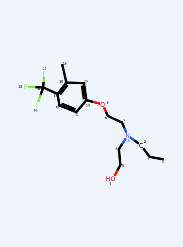 CCCN(CCO)CCOc1ccc(C(F)(F)F)c(C)c1